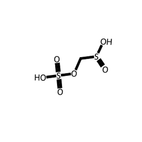 O=S(O)COS(=O)(=O)O